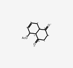 CC(=O)OC1C=CCC2C(=O)CCC(=O)C12